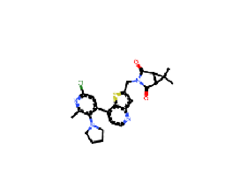 Cc1nc(Cl)cc(-c2ccnc3cc(CN4C(=O)C5C(C4=O)C5(C)C)sc23)c1N1CCCC1